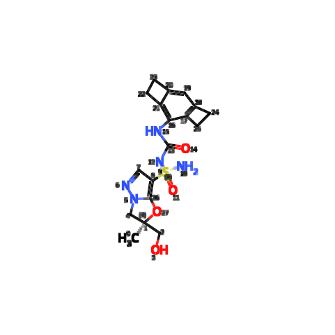 C[C@]1(CO)Cn2ncc([S@](N)(=O)=NC(=O)Nc3c4c(cc5c3CC5)CC4)c2O1